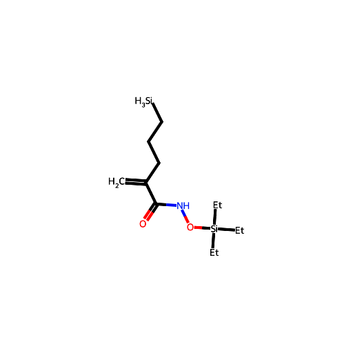 C=C(CCC[SiH3])C(=O)NO[Si](CC)(CC)CC